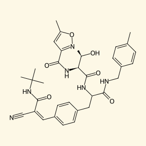 Cc1ccc(CNC(=O)C(Cc2ccc(C=C(C#N)C(=O)NC(C)(C)C)cc2)NC(=O)[C@@H](NC(=O)c2cc(C)on2)[C@@H](C)O)cc1